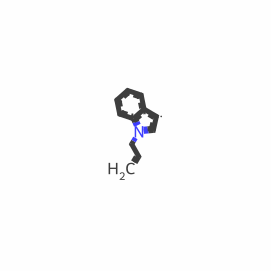 C=CCn1c[c]c2ccccc21